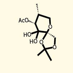 CC(=O)O[C@@H]1[C@H](C)CO[C@]2(COC(C)(C)O2)C1(O)O